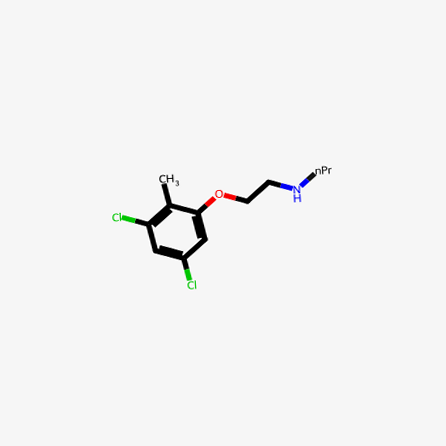 CCCNCCOc1cc(Cl)cc(Cl)c1C